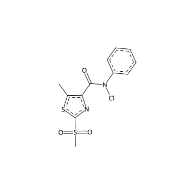 Cc1sc(S(C)(=O)=O)nc1C(=O)N(Cl)c1ccccc1